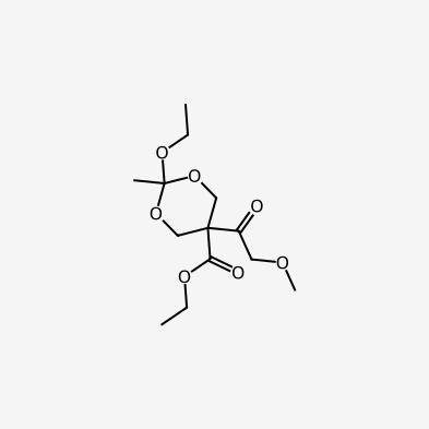 CCOC(=O)C1(C(=O)COC)COC(C)(OCC)OC1